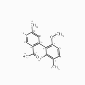 COc1ccc(C)c(F)c1-c1cc(C)ncc1C(=O)O